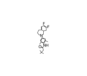 Cc1cc(N2CCCC3=CC(F)=C(F)CC3C2)cc(C)c1NC(=O)CC(C)(C)C